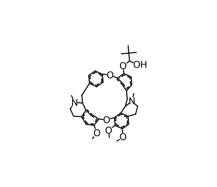 COc1cc2c3cc1Oc1c(OC)c(OC)cc4c1C(Cc1ccc(OC(O)C(C)(C)C)c(c1)Oc1ccc(cc1)CC3N(C)CC2)N(C)CC4